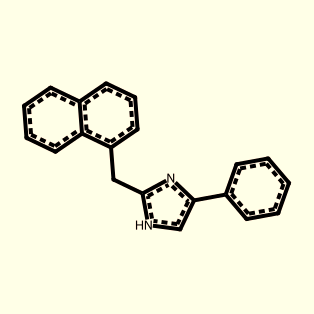 c1ccc(-c2c[nH]c(Cc3cccc4ccccc34)n2)cc1